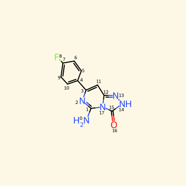 Nc1nc(-c2ccc(F)cc2)cc2n[nH]c(=O)n12